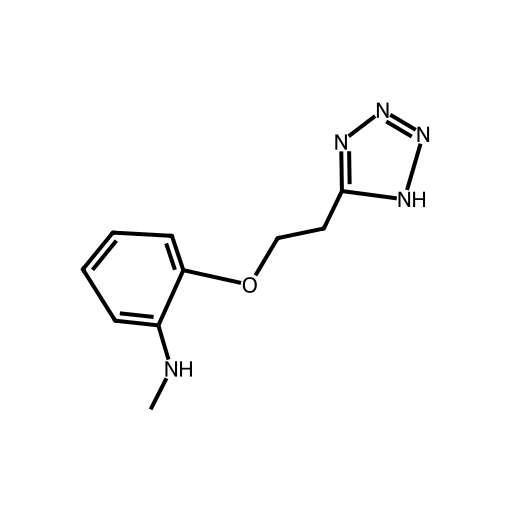 CNc1ccccc1OCCc1nnn[nH]1